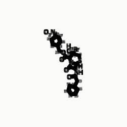 CC1(Br)CS[C@H]2C(NC(=O)Cc3ccccc3)C(=O)N2C1C(=O)OCc1ccc([N+](=O)[O-])cc1